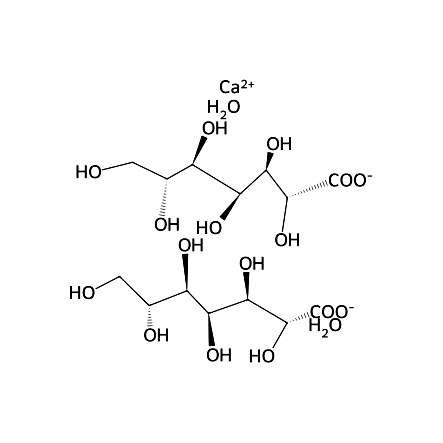 O.O.O=C([O-])[C@H](O)[C@H](O)[C@@H](O)[C@H](O)[C@H](O)CO.O=C([O-])[C@H](O)[C@H](O)[C@@H](O)[C@H](O)[C@H](O)CO.[Ca+2]